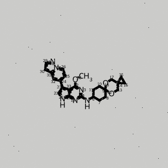 COc1nc(NC2CCC3(CC2)OCC2(CC2)CO3)nc2[nH]cc(-c3ccn4nccc4c3)c12